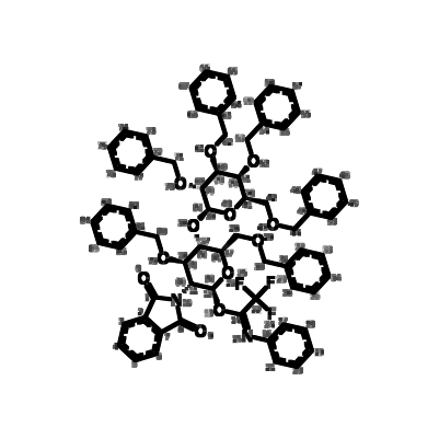 O=C1c2ccccc2C(=O)N1[C@H]1[C@H](OC(=Nc2ccccc2)C(F)(F)F)O[C@H](COCc2ccccc2)[C@@H](O[C@@H]2O[C@H](COCc3ccccc3)[C@H](OCc3ccccc3)[C@H](OCc3ccccc3)[C@H]2OCc2ccccc2)[C@@H]1OCc1ccccc1